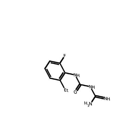 CCc1cccc(F)c1NC(=O)NC(=N)N